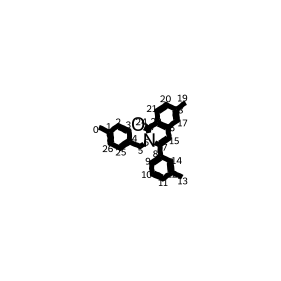 Cc1ccc(Cn2c(-c3cccc(C)c3)cc3cc(C)ccc3c2=O)cc1